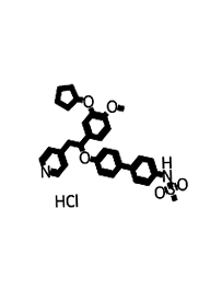 COc1ccc(C(Cc2ccncc2)Oc2ccc(-c3ccc(NS(C)(=O)=O)cc3)cc2)cc1OC1CCCC1.Cl